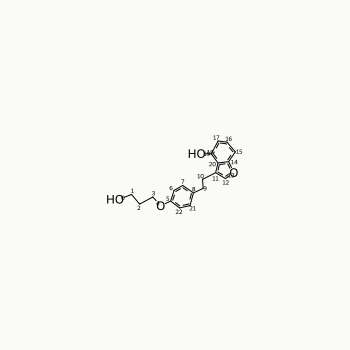 OCCCOc1ccc(CCc2coc3cccc(O)c23)cc1